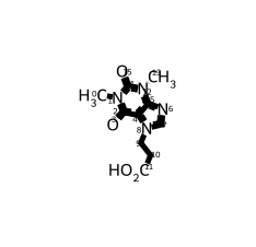 Cn1c(=O)c2c(ncn2CCC(=O)O)n(C)c1=O